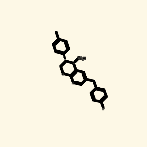 Cc1ccc([C@H]2COc3ncc(Cc4ccc(F)cc4)cc3N2C(=O)O)cc1